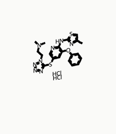 Cc1csc(Nc2ncc(Sc3nnnn3CCN(C)C)cc2Oc2ccccc2)n1.Cl.Cl